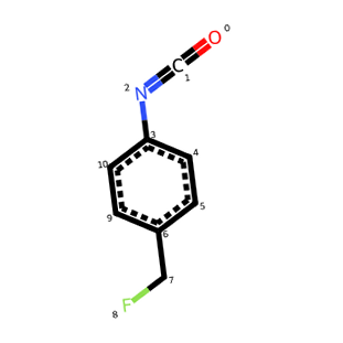 O=C=Nc1ccc(CF)cc1